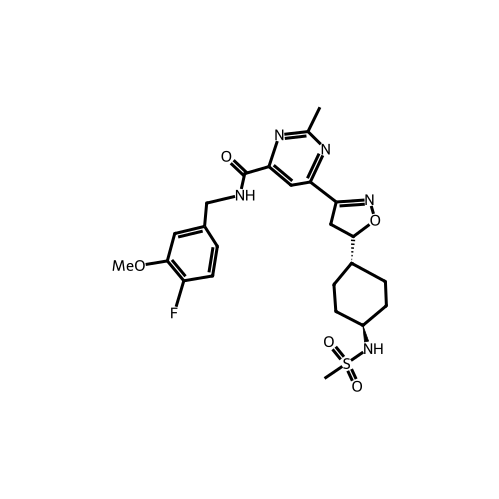 COc1cc(CNC(=O)c2cc(C3=NOC([C@H]4CC[C@H](NS(C)(=O)=O)CC4)C3)nc(C)n2)ccc1F